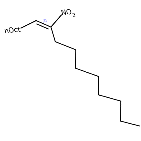 CCCCCCCC/C=C(\CCCCCCC[C]=O)[N+](=O)[O-]